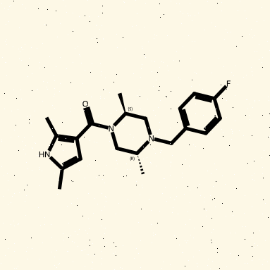 Cc1cc(C(=O)N2C[C@@H](C)N(Cc3ccc(F)cc3)C[C@@H]2C)c(C)[nH]1